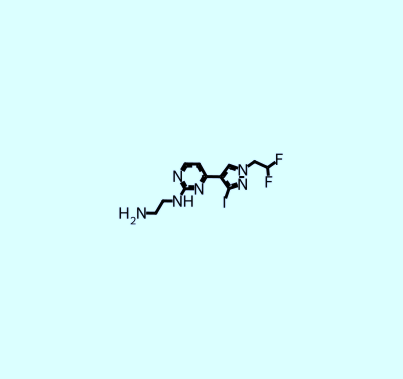 NCCNc1nccc(-c2cn(CC(F)F)nc2I)n1